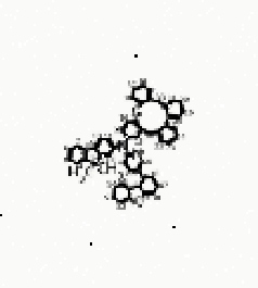 CC1(C)c2ccccc2-c2ccc(N(c3ccc4c(c3)Cc3ccccc3-c3ccccc3Cc3ccccc3S4)c3ccc(-c4cccc5oc6ccccc6c45)cn3)cc21